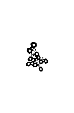 c1ccc(N(c2ccc3c(c2)C2(c4ccccc4-3)c3cccc(N(c4ccccc4)c4cccc5c4oc4ccccc45)c3-c3c2oc2ccccc32)c2ccc3sc4ccccc4c3c2)cc1